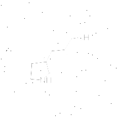 SCCCC1CCNC1